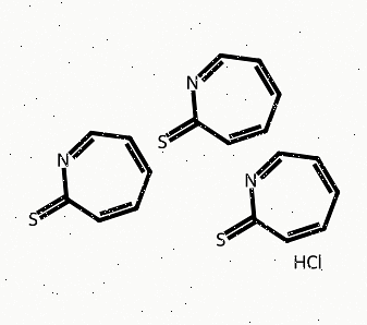 Cl.S=c1cccccn1.S=c1cccccn1.S=c1cccccn1